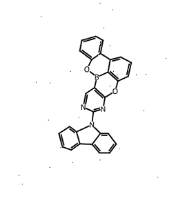 c1ccc2c(c1)OB1c3cnc(-n4c5ccccc5c5ccccc54)nc3Oc3cccc-2c31